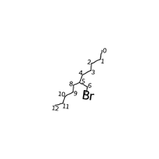 CCCCCC(CBr)CCCCC